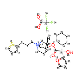 O=C(O[C@H]1C[N+]2(CCCc3cccs3)CCC1CC2)[C@](O)(c1ccco1)C1CCCCC1.O=C([O-])C(F)(F)F